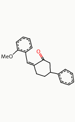 COc1ccccc1C=C1CCC(c2ccccc2)CC1=O